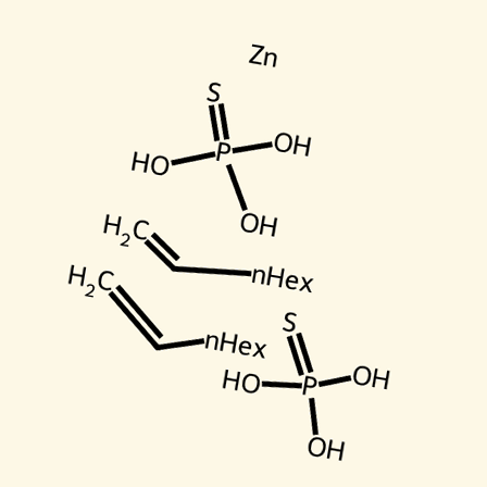 C=CCCCCCC.C=CCCCCCC.OP(O)(O)=S.OP(O)(O)=S.[Zn]